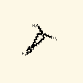 CCCCC/C=C\C/C=C\CCCCCCCCC1(CCCCCCCC/C=C\C/C=C\CCCCC)OC2CCN(C)CC[C@H]2O1